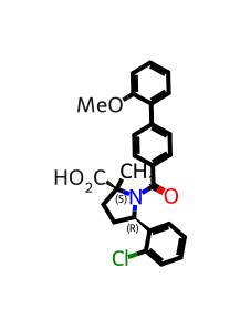 COc1ccccc1-c1ccc(C(=O)N2[C@@H](c3ccccc3Cl)CC[C@@]2(C)C(=O)O)cc1